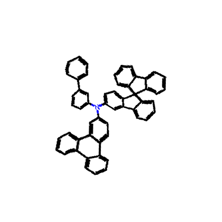 c1ccc(-c2cccc(N(c3ccc4c(c3)-c3ccccc3C43c4ccccc4-c4ccccc43)c3ccc4c5ccccc5c5ccccc5c4c3)c2)cc1